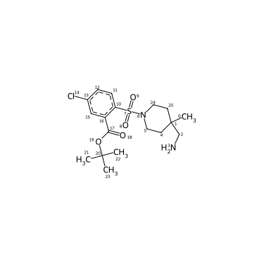 CC1(CN)CCN(S(=O)(=O)c2ccc(Cl)cc2C(=O)OC(C)(C)C)CC1